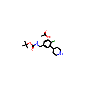 CC(=O)O.CC(C)(C)OC(=O)NCc1ccc(F)c(C2CCNCC2)c1